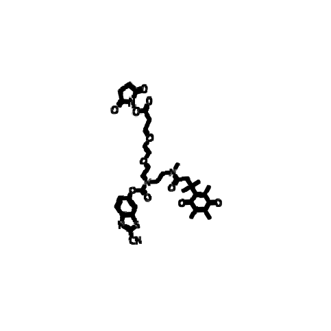 CC1=C(C)C(=O)C(C(C)(C)CC(=O)N(C)CCN(CCOCCOCCC(=O)ON2C(=O)CCC2=O)C(=O)Oc2ccc3nc(C#N)sc3c2)=C(C)C1=O